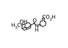 CC1(O)C2CC3CC1CC(C(=O)N[C@H]1CCCN(C(=O)O)C1)(C3)C2